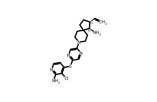 C=C[C@@H]1CCC2(CCN(c3cnc(Sc4ccnc(N)c4Cl)cn3)CC2)[C@@H]1N